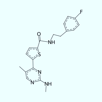 CNc1ncc(C)c(-c2ccc(C(=O)NCCc3ccc(F)cc3)s2)n1